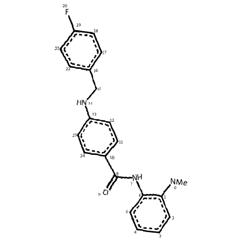 CNc1ccccc1NC(=O)c1ccc(NCc2ccc(F)cc2)cc1